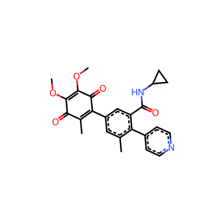 COC1=C(OC)C(=O)C(c2cc(C)c(-c3ccncc3)c(C(=O)NC3CC3)c2)=C(C)C1=O